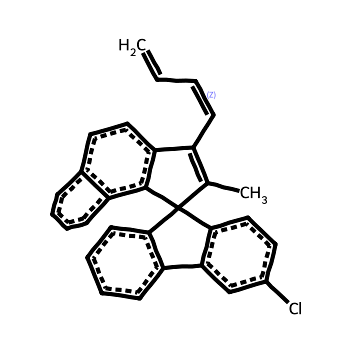 C=C/C=C\C1=C(C)C2(c3ccccc3-c3cc(Cl)ccc32)c2c1ccc1ccccc21